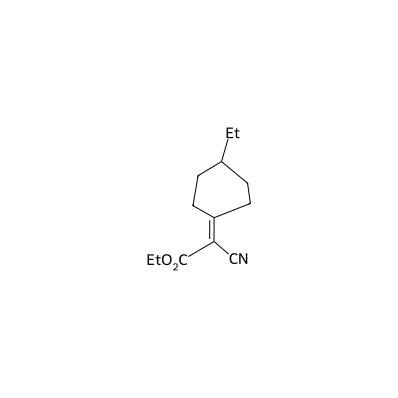 CCOC(=O)C(C#N)=C1CCC(CC)CC1